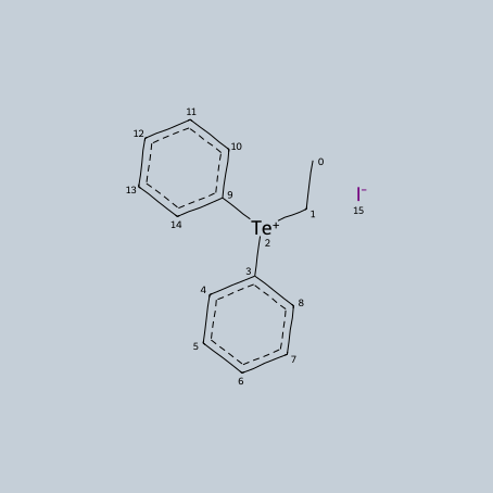 CC[Te+](c1ccccc1)c1ccccc1.[I-]